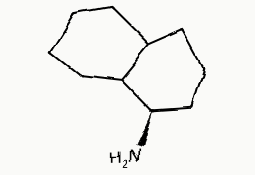 N[C@@H]1CCCC2CCCCC21